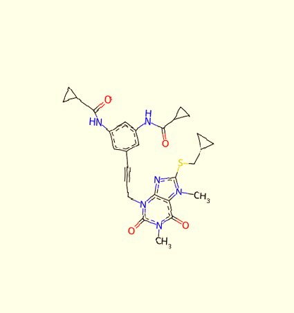 Cn1c(=O)c2c(nc(SCC3CC3)n2C)n(CC#Cc2cc(NC(=O)C3CC3)cc(NC(=O)C3CC3)c2)c1=O